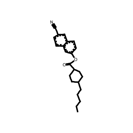 CCCCCC1CCC(C(=O)Oc2ccc3cc(C#N)ccc3c2)CC1